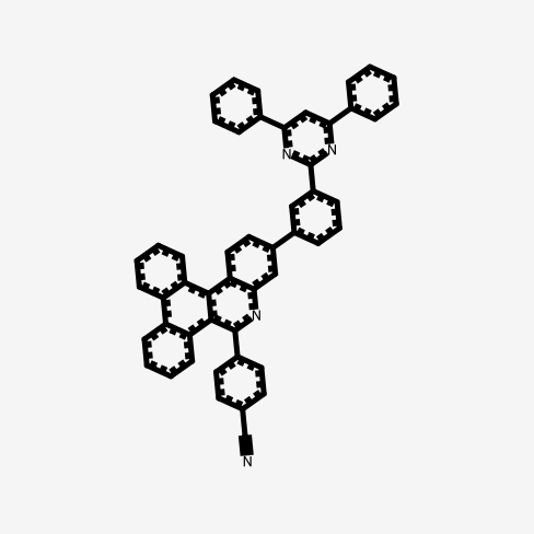 N#Cc1ccc(-c2nc3cc(-c4cccc(-c5nc(-c6ccccc6)cc(-c6ccccc6)n5)c4)ccc3c3c4ccccc4c4ccccc4c23)cc1